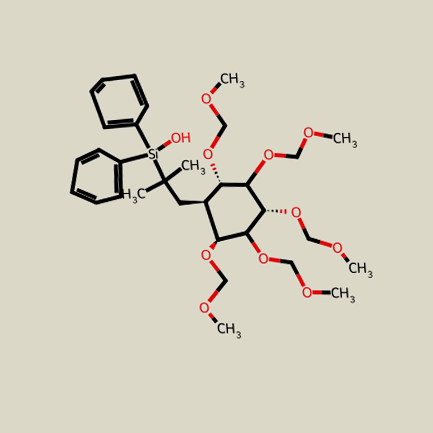 COCOC1[C@H](OCOC)C(OCOC)[C@@H](OCOC)[C@@H](CC(C)(C)[Si](O)(c2ccccc2)c2ccccc2)[C@@H]1OCOC